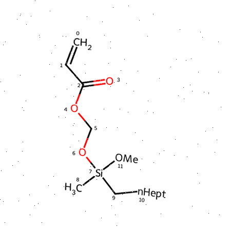 C=CC(=O)OCO[Si](C)(CCCCCCCC)OC